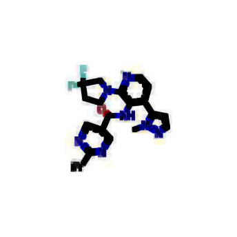 CC(C)c1ncc(C(=O)Nc2c(-c3ccnn3C)ccnc2N2CCC(F)(F)C2)cn1